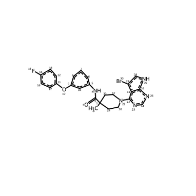 CC1(C(=O)Nc2cccc(Oc3ccc(F)cc3)c2)CCN(c2ncnc3[nH]cc(Br)c23)CC1